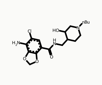 CCCCN1CCC(CNC(=O)c2cc(Cl)c(N)c3c2OCO3)C(O)C1